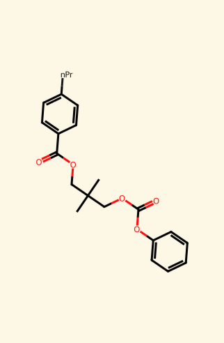 CCCc1ccc(C(=O)OCC(C)(C)COC(=O)Oc2ccccc2)cc1